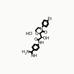 CCc1ccc(N2CCO[C@H]([C@@H](O)C(=O)Nc3ccc(C(=N)N)cc3)C2=O)cc1.Cl